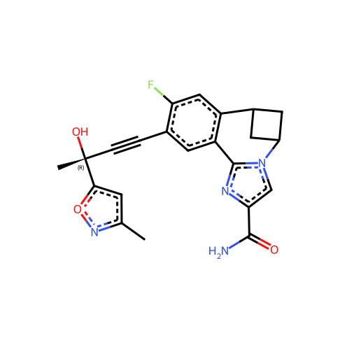 Cc1cc([C@](C)(O)C#Cc2cc3c(cc2F)C2CC(C2)n2cc(C(N)=O)nc2-3)on1